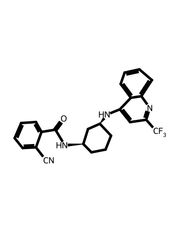 N#Cc1ccccc1C(=O)N[C@@H]1CCC[C@H](Nc2cc(C(F)(F)F)nc3ccccc23)C1